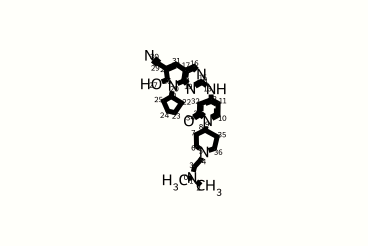 CN(C)CCN1CCC(n2ccc(Nc3ncc4c(n3)N(C3CCCC3)C(O)C(C#N)=C4)cc2=O)CC1